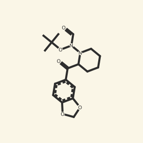 CC(C)(C)ON(C=O)N1CCCCC1C(=O)c1ccc2c(c1)OCO2